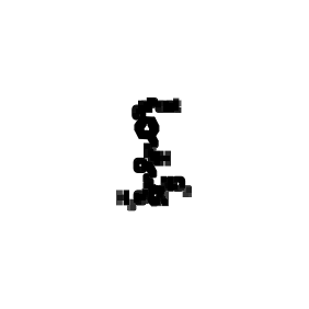 CCCCCOc1ccc(/C=N/NC(=O)CSc2c([N+](=O)[O-])ncn2C)cc1